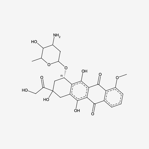 COc1cccc2c1C(=O)c1c(O)c3c(c(O)c1C2=O)CC(O)(C(=O)CO)C[C@@H]3OC1CC(N)C(O)C(C)O1